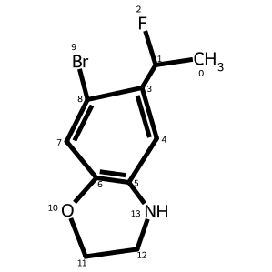 CC(F)c1cc2c(cc1Br)OCCN2